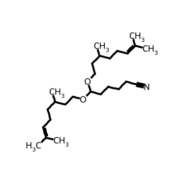 CC(C)=CCCC(C)CCOC(CCCCC#N)OCCC(C)CCC=C(C)C